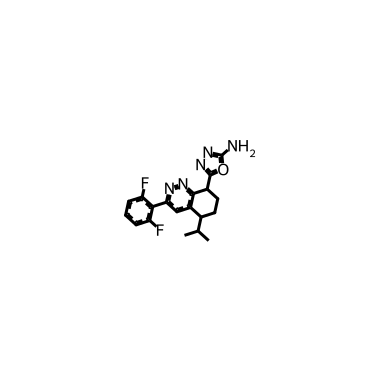 CC(C)C1CCC(c2nnc(N)o2)c2nnc(-c3c(F)cccc3F)cc21